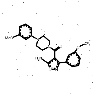 COc1cccc(N2CCN(C(=O)c3c(-c4cccc(OC(F)(F)F)c4)noc3N)CC2)c1